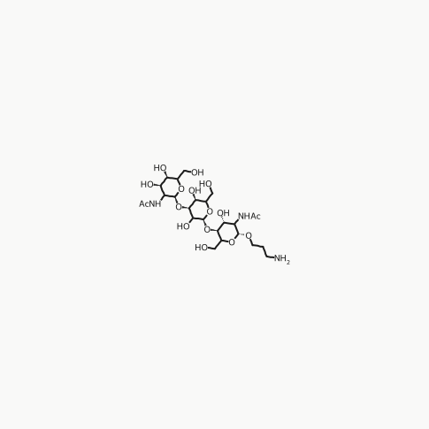 CC(=O)NC1[C@H](OCCCN)OC(CO)[C@@H](O[C@@H]2OC(CO)[C@H](O)[C@H](O[C@@H]3OC(CO)[C@H](O)[C@H](O)C3NC(C)=O)C2O)[C@@H]1O